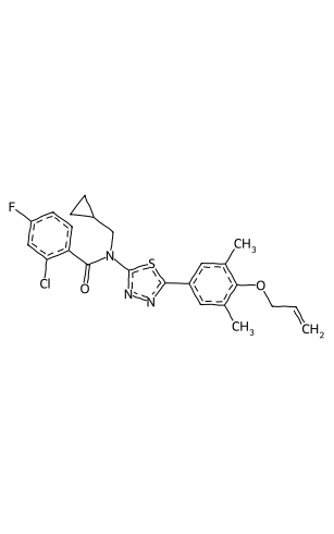 C=CCOc1c(C)cc(-c2nnc(N(CC3CC3)C(=O)c3ccc(F)cc3Cl)s2)cc1C